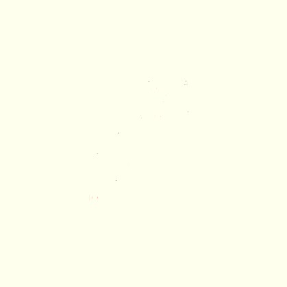 CC(=O)C(C)C(=O)OCCCc1ccc(O)cc1